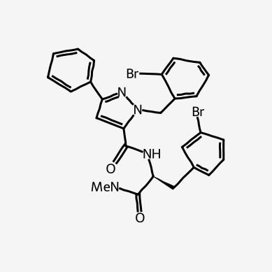 CNC(=O)[C@H](Cc1cccc(Br)c1)NC(=O)c1cc(-c2ccccc2)nn1Cc1ccccc1Br